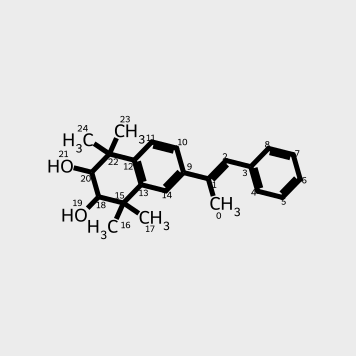 CC(=Cc1ccccc1)c1ccc2c(c1)C(C)(C)C(O)C(O)C2(C)C